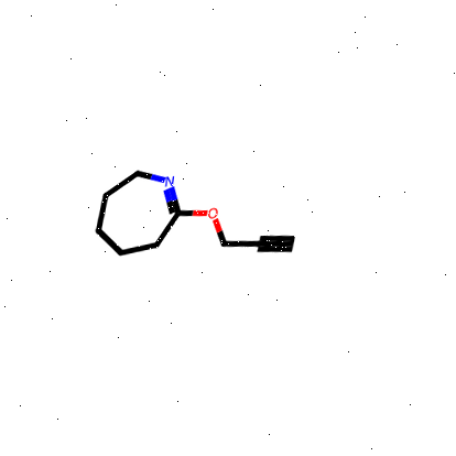 C#CCOC1=NCCCCC1